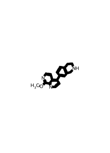 COc1nccc2c(-c3ccc4c(c3)CNCC4)ccnc12